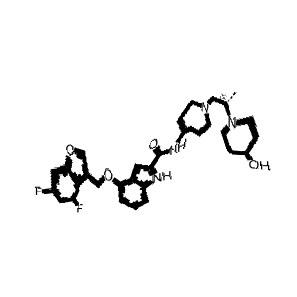 C[C@@H](CN1CCC(NC(=O)c2cc3c(OCc4coc5cc(F)cc(F)c45)cccc3[nH]2)CC1)N1CCC(O)CC1